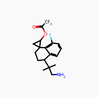 CC(C)(CN)C1CCC2(CC2OC(=O)C(F)(F)F)c2c(F)cccc21